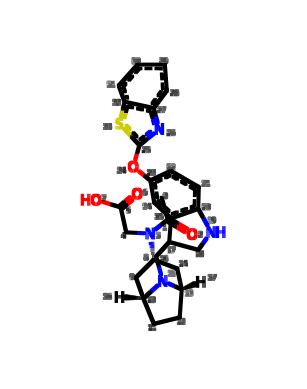 CC(=O)N(CC(=O)O)[C@H]1C[C@H]2CC[C@@H](C1)N2CC1CNc2ccc(Oc3nc4ccccc4s3)cc21